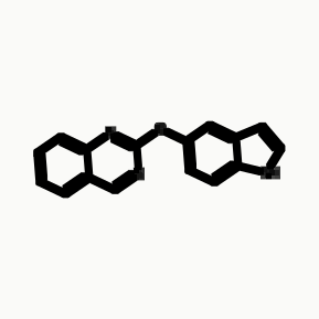 c1ccc2nc(Oc3ccc4[nH]ccc4c3)ncc2c1